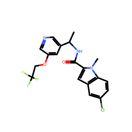 CC(NC(=O)c1cc2cc(Cl)ccc2n1C)c1cncc(OCC(F)(F)F)c1